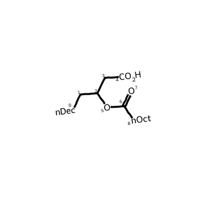 CCCCCCCCCCCC(CC(=O)O)OC(=O)CCCCCCCC